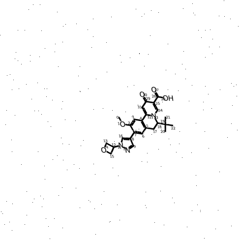 COc1cc2c(cc1-c1cnn(C3COC3)c1)CC(C(C)(C)C)n1cc(C(=O)O)c(=O)cc1-2